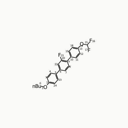 CCCCOc1ccc(-c2ccc(-c3ccc(OC(F)F)cc3)c(F)c2)cc1